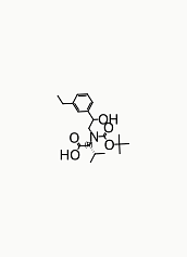 CCc1cccc(C(O)CN(C(=O)OC(C)(C)C)[C@@H](C(=O)O)C(C)C)c1